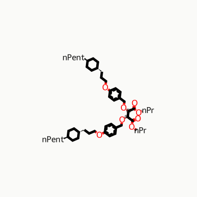 CCCCC[C@H]1CC[C@H](CCCOc2ccc(CO[C@@H](C(=O)OCCC)[C@@H](OCc3ccc(OCCC[C@H]4CC[C@H](CCCCC)CC4)cc3)C(=O)OCCC)cc2)CC1